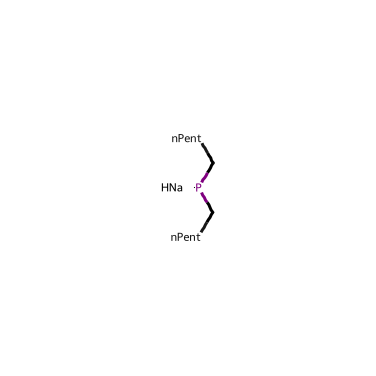 CCCCCC[P]CCCCCC.[NaH]